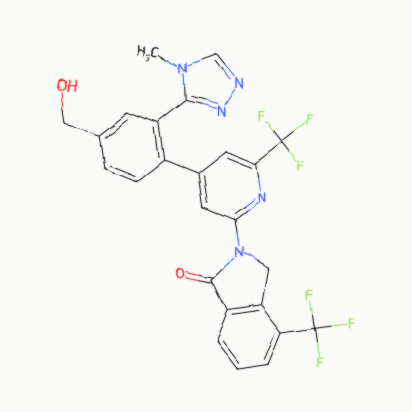 Cn1cnnc1-c1cc(CO)ccc1-c1cc(N2Cc3c(cccc3C(F)(F)F)C2=O)nc(C(F)(F)F)c1